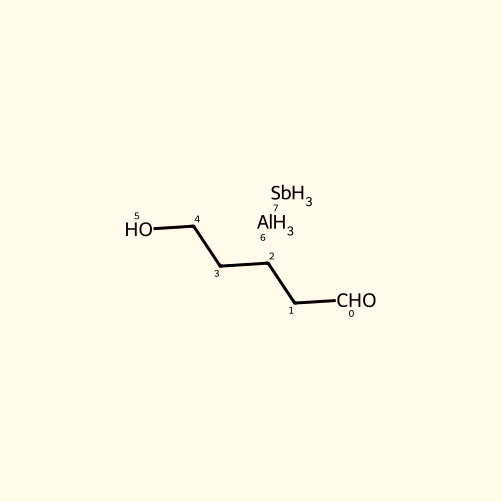 O=CCCCCO.[AlH3].[SbH3]